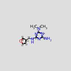 CN(C)c1nc(N)nc(NCc2ccoc2)n1